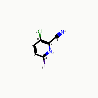 N#Cc1nc(I)ccc1Cl